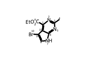 CCOC(=O)c1nc(C)nc2[nH]cc(Br)c12